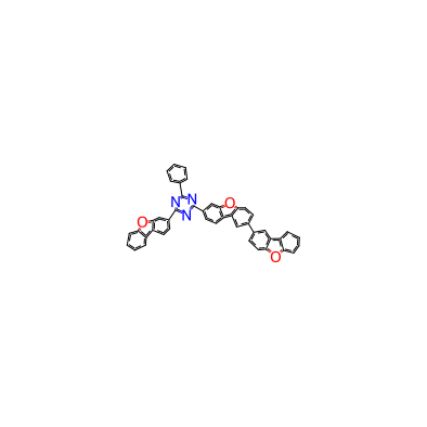 c1ccc(-c2nc(-c3ccc4c(c3)oc3ccccc34)nc(-c3ccc4c(c3)oc3ccc(-c5ccc6oc7ccccc7c6c5)cc34)n2)cc1